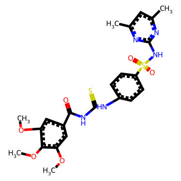 COc1cc(C(=O)NC(=S)Nc2ccc(S(=O)(=O)Nc3nc(C)cc(C)n3)cc2)cc(OC)c1OC